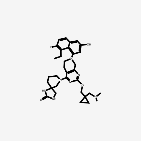 CCc1c(F)ccc2cc(O)cc(N3CCc4c(nc(OCC5(CN(C)C)CC5)nc4N4CCCC5(CNC(=O)N5)C4)C3)c12